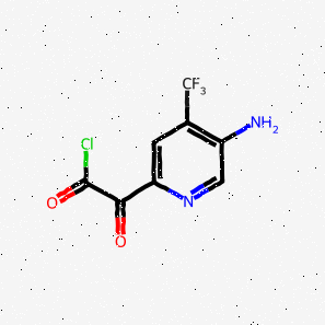 Nc1cnc(C(=O)C(=O)Cl)cc1C(F)(F)F